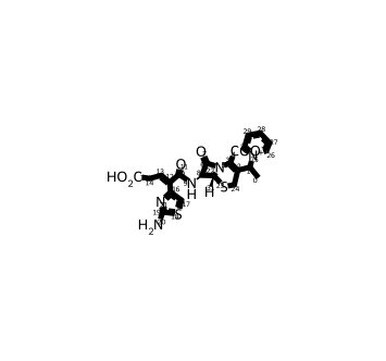 CC(C1=C(C(=O)[O-])N2C(=O)[C@@H](NC(=O)/C(=C/CC(=O)O)c3csc(N)n3)[C@H]2SC1)[n+]1ccccc1